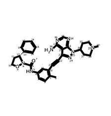 Cc1ccc(NC(=O)N2OCC[C@@H]2c2ccccc2)cc1C#Cc1nn(C2CCN(C)CC2)c2ncnc(N)c12